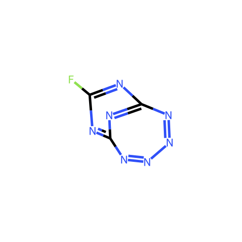 Fc1nc2nc(n1)N=NN=N2